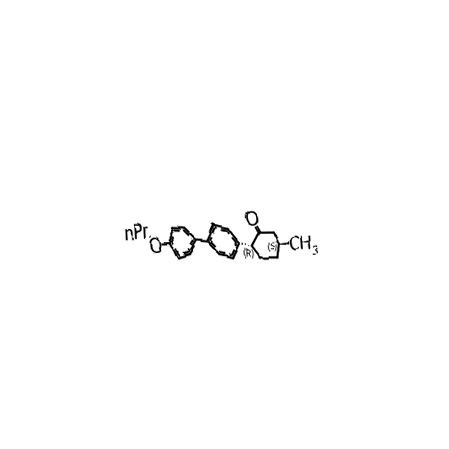 CCCOc1ccc(-c2ccc([C@H]3CC[C@H](C)CC3=O)cc2)cc1